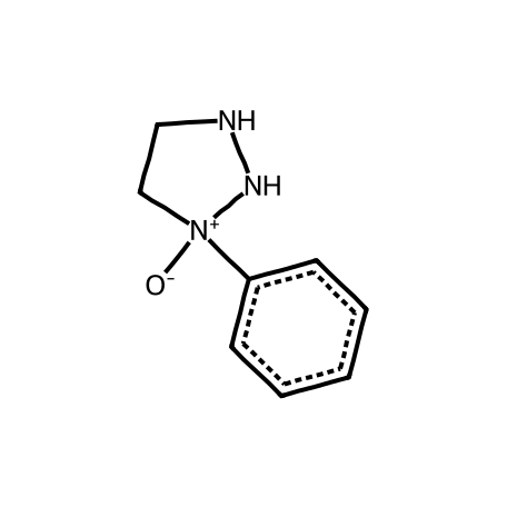 [O-][N+]1(c2ccccc2)CCNN1